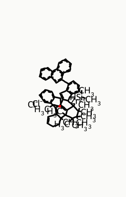 CCCC1=Cc2c(-c3cc4ccccc4c4ccccc34)cccc2C1[C]1([Zr+2][SiH](C)C)C2=C3Cc4ccccc4C3=C3C=CCCC3(C)C2(C)C(C)(C)C(C)(C)C1(C)C.[Cl-].[Cl-]